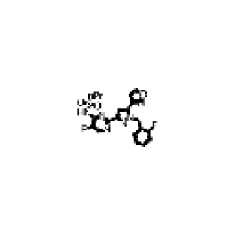 CCCS(=O)(=O)Nc1nc(-c2cc(-c3ccon3)n(Cc3ccccc3F)n2)ncc1F